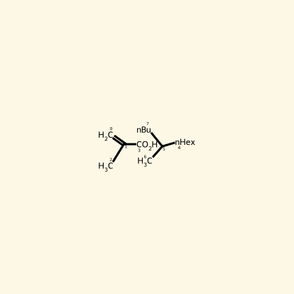 C=C(C)C(=O)O.CCCCCCC(C)CCCC